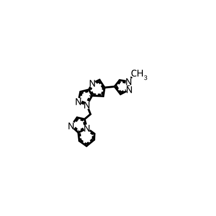 Cn1cc(-c2cnc3cnn(Cc4cnc5ccccn45)c3c2)cn1